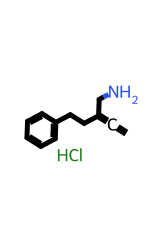 C=C=C(CN)CCc1ccccc1.Cl